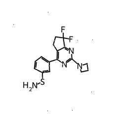 NSc1cccc(-c2nc(N3CCC3)nc3c2CCC3(F)F)c1